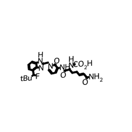 CC(C)(C)C(F)c1cccc2[nH]c(Cn3cccc(NC(=O)C(CC/C=C/C(N)=O)NC(=O)O)c3=O)nc12